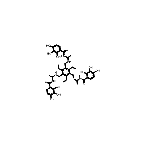 CCc1c(CNC(C)NC(=O)c2ccc(O)c(O)c2O)c(CC)c(CNC(C)NC(=O)c2ccc(O)c(O)c2O)c(CC)c1CNC(C)NC(=O)c1ccc(O)c(O)c1O